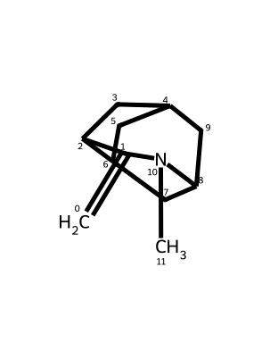 C=C1C2CC3CC2CC(C3)N1C